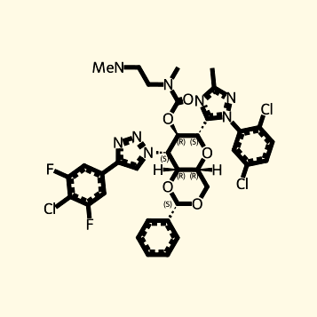 CNCCN(C)C(=O)O[C@@H]1[C@@H](n2cc(-c3cc(F)c(Cl)c(F)c3)nn2)[C@H]2O[C@@H](c3ccccc3)OC[C@H]2O[C@H]1c1nc(C)nn1-c1cc(Cl)ccc1Cl